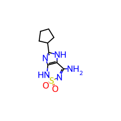 NC1=NS(=O)(=O)Nc2nc(C3CCCC3)[nH]c21